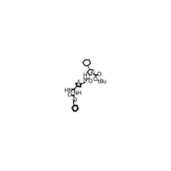 CC(C)(C)OC(=O)N1C[C@H](C2CCCCC2)C[C@H]1C(=O)NCc1cc(C(=N)NC(=O)OCc2ccccc2)cs1